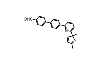 CC1=NC(C)(c2cccc(-c3ccc(-c4ccc(C=O)cc4)cc3)n2)C=C1